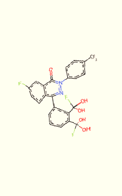 O=c1c2cc(F)ccc2c(-c2cccc(C(O)(O)F)c2C(O)(O)F)nn1-c1ccc(C(F)(F)F)cc1